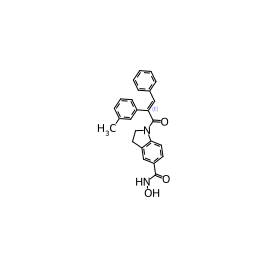 Cc1cccc(/C(=C\c2ccccc2)C(=O)N2CCc3cc(C(=O)NO)ccc32)c1